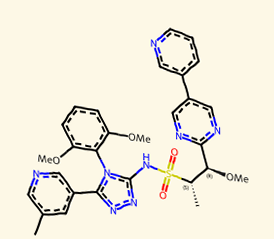 COc1cccc(OC)c1-n1c(NS(=O)(=O)[C@@H](C)[C@H](OC)c2ncc(-c3cccnc3)cn2)nnc1-c1cncc(C)c1